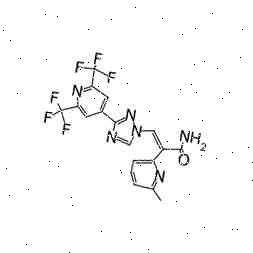 Cc1cccc(/C(=C\n2cnc(-c3cc(C(F)(F)F)nc(C(F)(F)F)c3)n2)C(N)=O)n1